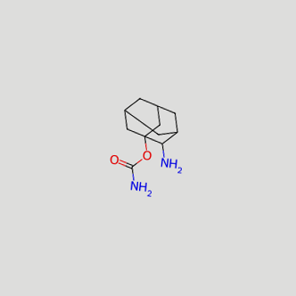 NC(=O)OC12CC3CC(CC(C3)C1N)C2